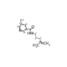 CN(C)CCCNC(=O)c1cncc(I)c1